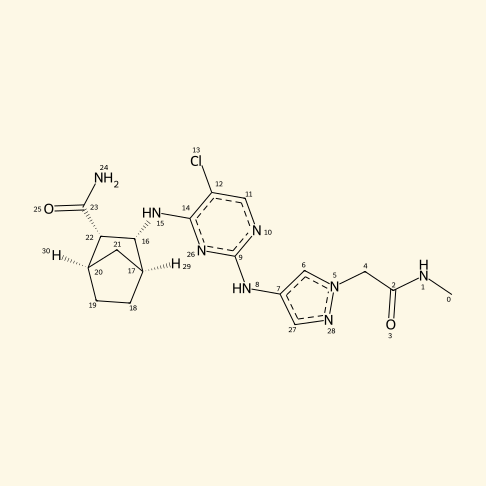 CNC(=O)Cn1cc(Nc2ncc(Cl)c(N[C@@H]3[C@H]4CC[C@H](C4)[C@@H]3C(N)=O)n2)cn1